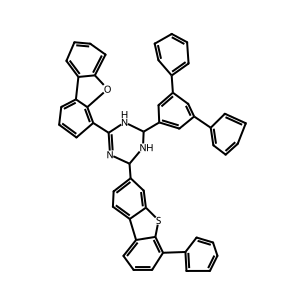 c1ccc(-c2cc(-c3ccccc3)cc(C3NC(c4cccc5c4oc4ccccc45)=NC(c4ccc5c(c4)sc4c(-c6ccccc6)cccc45)N3)c2)cc1